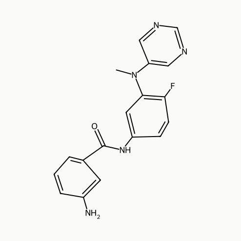 CN(c1cncnc1)c1cc(NC(=O)c2cccc(N)c2)ccc1F